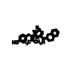 CN(C)[C@@H](Cc1ccc(O)cc1)C1(NC(=NC#N)NC2CCc3ccccc3C2)CC1